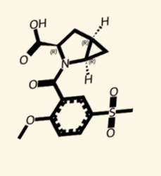 COc1ccc(S(C)(=O)=O)cc1C(=O)N1[C@@H](C(=O)O)C[C@H]2C[C@H]21